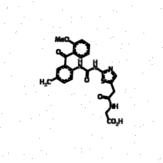 COc1ccccc1C(=O)c1cc(C)ccc1NC(=O)Nc1ncc(CC(=O)NCC(=O)O)s1